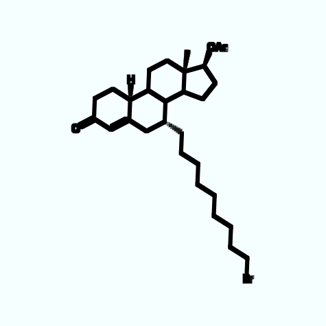 CC(=O)O[C@H]1CCC2C3C(CC[C@@]21C)[C@H]1CCC(=O)C=C1C[C@H]3CCCCCCCCCBr